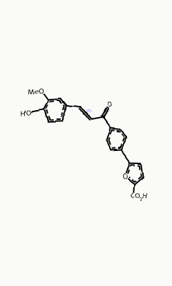 COc1cc(/C=C/C(=O)c2ccc(-c3ccc(C(=O)O)o3)cc2)ccc1O